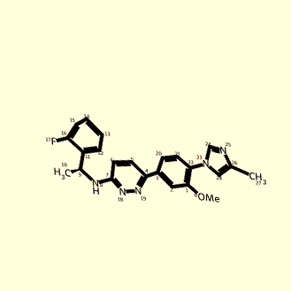 COc1cc(-c2ccc(N[C@@H](C)c3ccccc3F)nn2)ccc1-n1cnc(C)c1